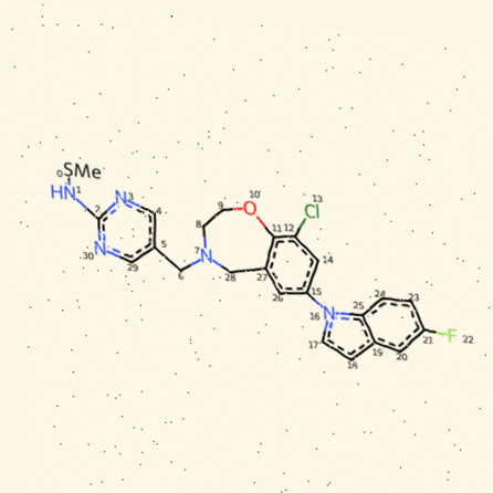 CSNc1ncc(CN2CCOc3c(Cl)cc(-n4ccc5cc(F)ccc54)cc3C2)cn1